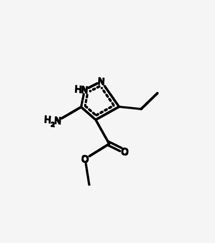 CCc1n[nH]c(N)c1C(=O)OC